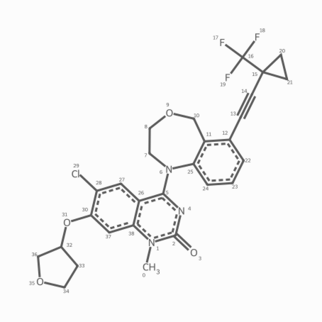 Cn1c(=O)nc(N2CCOCc3c(C#CC4(C(F)(F)F)CC4)cccc32)c2cc(Cl)c(OC3CCOC3)cc21